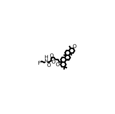 CC1C(=O)CCC2(C)C1CCC1(C)C3CCC4(C(=O)CC5OC(C(=O)NCCF)C6OC56)CCC(C)(C)CC4C3=CCC12